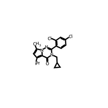 Cc1cc(C(C)C)c2c(=O)n(CC3CC3)c(-c3ccc(Cl)cc3Cl)nn12